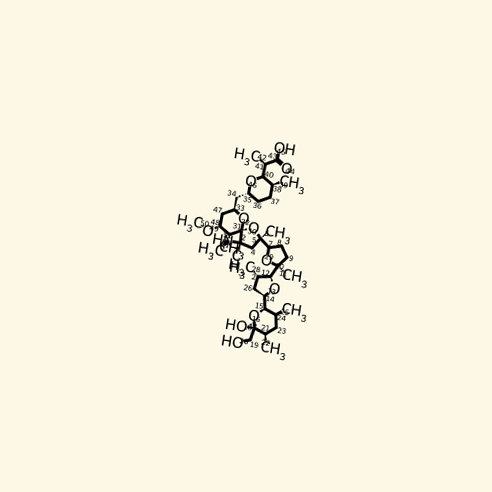 CN[C@@]1(C)C[C@](C)(C2CC[C@@](C)([C@@H]3O[C@@H]([C@@H]4O[C@@](O)(CO)[C@H](C)CC4C)C[C@@H]3C)O2)O[C@]12O[C@H](C[C@H]1CC[C@H](C)C([C@@H](C)C(=O)O)O1)C[C@@H](OC)[C@H]2C